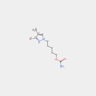 NC(=O)OCCCCCn1cc([N+](=O)[O-])c(Br)n1